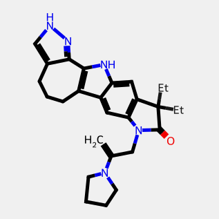 C=C(CN1C(=O)C(CC)(CC)c2cc3[nH]c4c(c3cc21)CCCc1c[nH]nc1-4)N1CCCC1